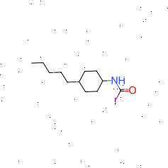 CCCCCC1CCC(NC(=O)I)CC1